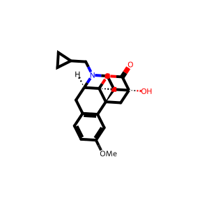 COc1ccc2c(c1)[C@]13CCN(CC4CC4)[C@H](C2)[C@]12CC[C@](O)(C3)C(=O)O2